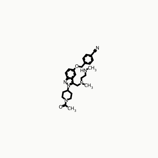 CNCCN(C)Cc1c2cc(OCc3ccc(C#N)cc3)ccc2nn1C1CCN(C(C)=O)CC1